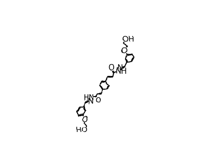 O=C(/C=C/c1ccc(/C=C/C(=O)N/N=C/c2cccc(OCCO)c2)cc1)N/N=C/c1cccc(OCCO)c1